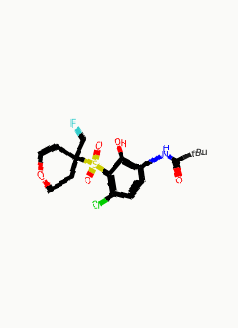 CC(C)(C)C(=O)Nc1ccc(Cl)c(S(=O)(=O)C2(CF)CCOCC2)c1O